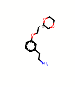 NCCc1cccc(OCC[C@H]2COCCO2)c1